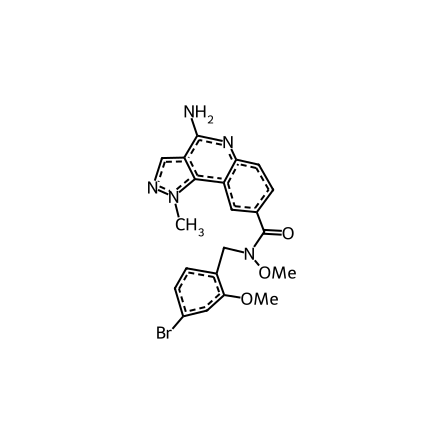 COc1cc(Br)ccc1CN(OC)C(=O)c1ccc2nc(N)c3cnn(C)c3c2c1